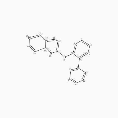 c1ccc(-c2ccccc2Oc2ccc3cnccc3n2)cc1